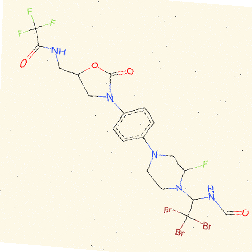 O=CNC(N1CCN(c2ccc(N3CC(CNC(=O)C(F)(F)F)OC3=O)cc2)CC1F)C(Br)(Br)Br